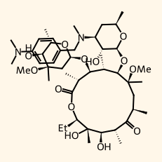 CC[C@H]1OC(=O)[C@H](C)[C@@H](O[C@H]2C[C@@](C)(OC)[C@@H](O)[C@H](C)O2)[C@H](C)[C@@H](O[C@@H]2O[C@H](C)C[C@H](N(C)Cc3ccc(N(C)C)cc3)[C@H]2O)[C@@](C)(OC)C[C@@H](C)C(=O)[C@H](C)[C@@H](O)[C@]1(C)O